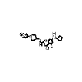 O=c1[nH]c(CSC2CCN(C3C[S+]([O-])C3)CC2)nc2cc(NC3CCCC3)cc(F)c12